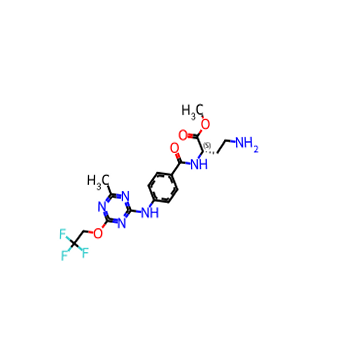 COC(=O)[C@H](CCN)NC(=O)c1ccc(Nc2nc(C)nc(OCC(F)(F)F)n2)cc1